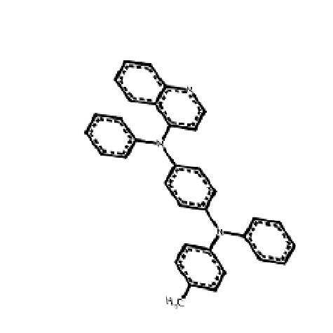 Cc1ccc(N(c2ccccc2)c2ccc(N(c3ccccc3)c3ccnc4ccccc34)cc2)cc1